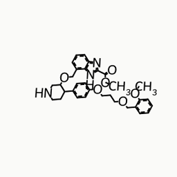 COC(=O)c1nc2cccc(COC3CNCCC3c3ccc(OCCCOCc4ccccc4OC)cc3)c2[nH]1